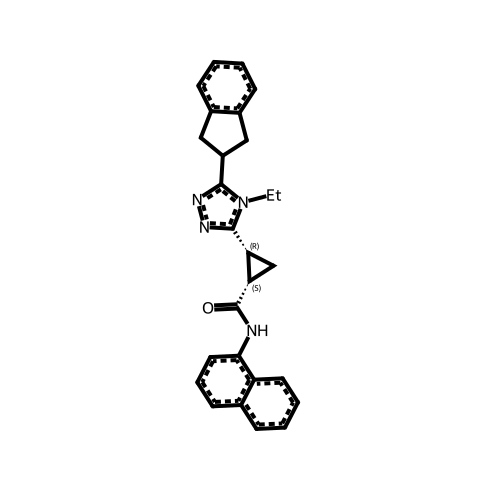 CCn1c(C2Cc3ccccc3C2)nnc1[C@@H]1C[C@@H]1C(=O)Nc1cccc2ccccc12